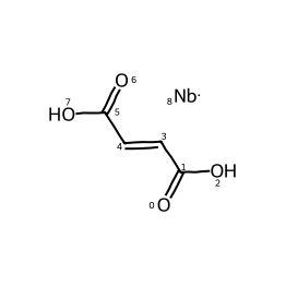 O=C(O)C=CC(=O)O.[Nb]